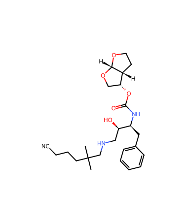 CC(C)(CCCC#N)CNC[C@@H](O)[C@H](Cc1ccccc1)NC(=O)O[C@@H]1CO[C@@H]2OCC[C@@H]21